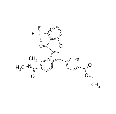 CCOC(=O)c1ccc(-c2cc(C(=O)c3c(Cl)cccc3C(F)(F)F)n3cc(C(=O)N(C)C)ccc23)cc1